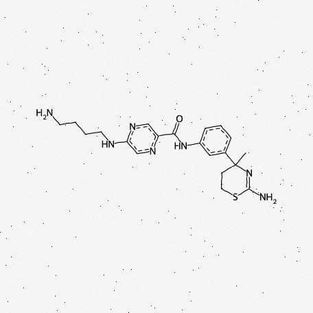 CC1(c2cccc(NC(=O)c3cnc(NCCCCN)cn3)c2)CCSC(N)=N1